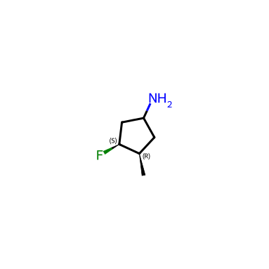 C[C@@H]1CC(N)C[C@@H]1F